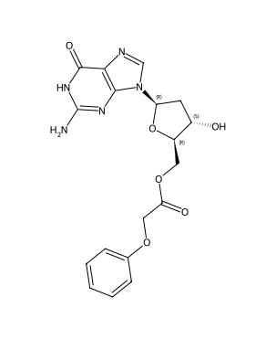 Nc1nc2c(ncn2[C@H]2C[C@H](O)[C@@H](COC(=O)COc3ccccc3)O2)c(=O)[nH]1